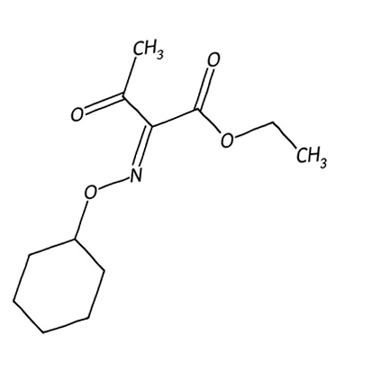 CCOC(=O)/C(=N/OC1CCCCC1)C(C)=O